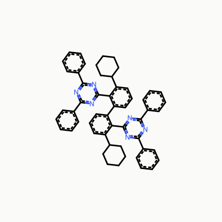 c1ccc(-c2nc(-c3ccccc3)nc(-c3c(-c4cccc(C5CCCCC5)c4-c4nc(-c5ccccc5)nc(-c5ccccc5)n4)cccc3C3CCCCC3)n2)cc1